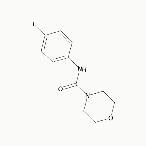 O=C(Nc1ccc(I)cc1)N1CCOCC1